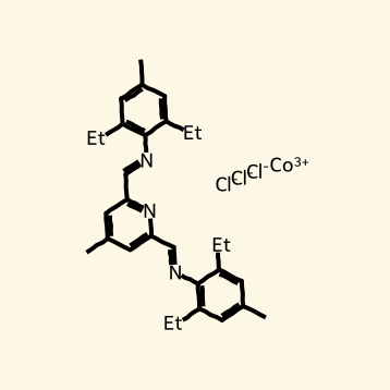 CCc1cc(C)cc(CC)c1N=Cc1cc(C)cc(C=Nc2c(CC)cc(C)cc2CC)n1.[Cl-].[Cl-].[Cl-].[Co+3]